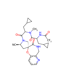 CN(C(=O)C(CC1CC1)NC(=O)C(F)(F)F)C(CC1CC1)C(=O)N1C[C@@]2(C[C@H]1C#N)Oc1cccnc1CNC2=O